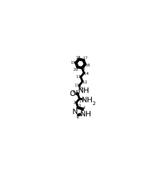 NC(Cc1c[nH]cn1)C(=O)NCCCCc1ccccc1